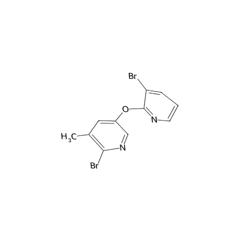 Cc1cc(Oc2ncccc2Br)cnc1Br